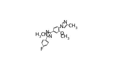 COc1cc(-c2nc(-c3ccc(F)cc3)n(C)n2)ccc1-n1cnc(C)c1